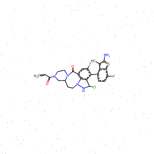 C=CC(=O)N1CCN2C(=O)c3cc(F)c(-c4ccc(F)c5sc(N)c(C#N)c45)c4c3N(CCC2C1)NC4Cl